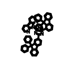 c1ccc(C2(c3ccccc3)c3ccccc3-c3ccc(-c4nc(-c5cccc6c5C(c5ccccc5)(c5ccccc5)c5ccccc5-6)nc(-n5c6ncccc6c6cccnc65)n4)cc32)cc1